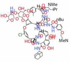 CCCCOc1ccc(OCCNC)cc1NC(=O)NC(=O)C[C@@H]1NC(=O)[C@H](NC(=O)[C@@H](CC(C)C)NC)[C@H](O)c2ccc(c(C)c2)Oc2cc3cc(c2O[C@@H]2O[C@H](CO)[C@@H](O)[C@H](O)[C@H]2O[C@H]2C[C@](C)(N)[C@H](O)[C@H](C)O2)Oc2ccc(cc2Cl)[C@@H](O)[C@@H]2NC(=O)[C@H](NC(=O)[C@@H]3NC1=O)c1ccc(O)c(c1)-c1c(O)cc(O)cc1[C@@H](C(=O)NC1C3CC4CC(C3)CC1C4)NC2=O